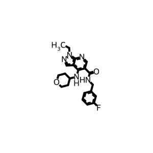 CCn1ncc2c(NC3CCOCC3)c(C(=O)NCc3cccc(F)c3)cnc21